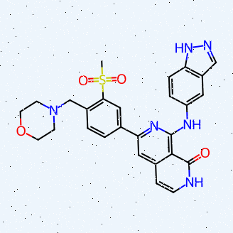 CS(=O)(=O)c1cc(-c2cc3cc[nH]c(=O)c3c(Nc3ccc4[nH]ncc4c3)n2)ccc1CN1CCOCC1